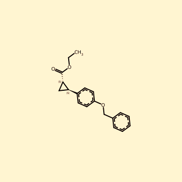 CCOC(=O)[C@H]1C[C@@H]1c1ccc(OCc2ccccc2)cc1